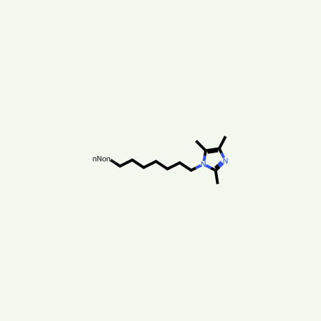 CCCCCCCCCCCCCCCCn1c(C)nc(C)c1C